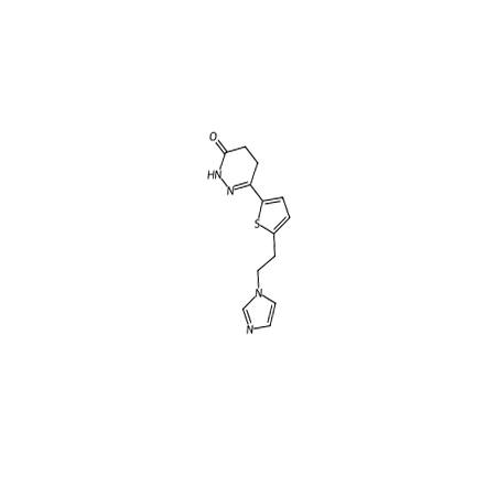 O=C1CCC(c2ccc(CCn3ccnc3)s2)=NN1